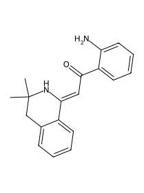 CC1(C)Cc2ccccc2/C(=C/C(=O)c2ccccc2N)N1